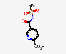 CCCS(=O)(=O)NC(=O)c1ccc(C(=O)O)nc1